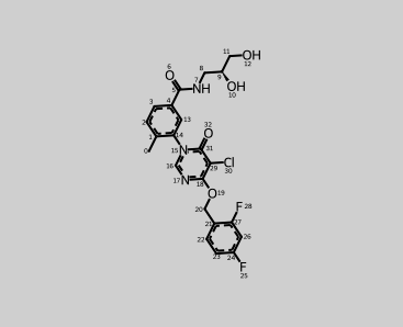 Cc1ccc(C(=O)NC[C@H](O)CO)cc1-n1cnc(OCc2ccc(F)cc2F)c(Cl)c1=O